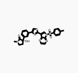 Cc1ccc(S(=O)(=O)n2cc(-c3nc(-c4cccc([C@@]5(O)CCN(C)C5=O)c4)cs3)c3nccnc32)cc1